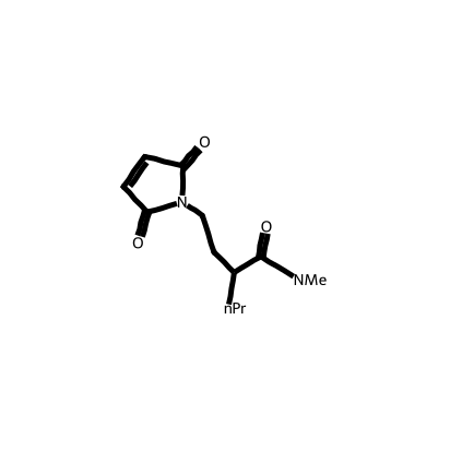 CCCC(CCN1C(=O)C=CC1=O)C(=O)NC